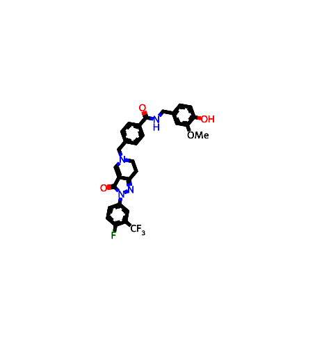 COc1cc(CNC(=O)c2ccc(CN3C=C4C(=O)N(c5ccc(F)c(C(F)(F)F)c5)N=C4CC3)cc2)ccc1O